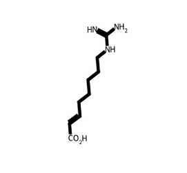 N=C(N)NCCCCC/C=C/C(=O)O